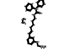 CC(C)(C)N.O=C(O)COc1cccc(/C=C/CCCCOC(=O)N(c2ccccc2)c2ccccc2)c1